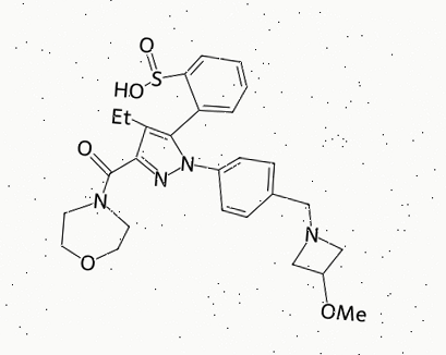 CCc1c(C(=O)N2CCOCC2)nn(-c2ccc(CN3CC(OC)C3)cc2)c1-c1ccccc1S(=O)O